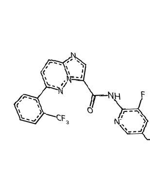 O=C(Nc1ncc(F)cc1F)c1cnc2ccc(-c3ccccc3C(F)(F)F)nn12